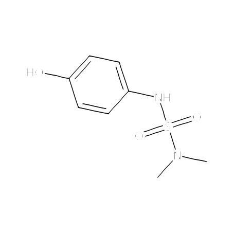 CN(C)S(=O)(=O)Nc1c[c]c(O)cc1